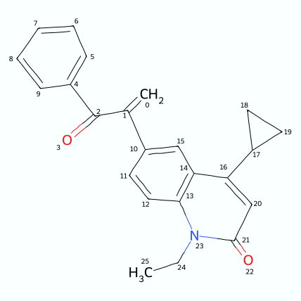 C=C(C(=O)c1ccccc1)c1ccc2c(c1)c(C1CC1)cc(=O)n2CC